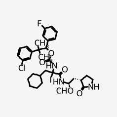 CC(C)(c1cccc(Cl)c1)C(OC(=O)NC(I)(CC1CCCCC1)C(=O)N[C@H](C=O)C[C@@H]1CCNC1=O)c1cccc(F)c1